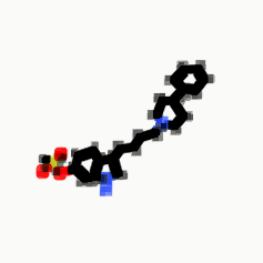 CS(=O)(=O)Oc1ccc2c(CCCCN3CCC(c4ccccc4)CC3)c[nH]c2c1